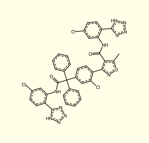 Cc1onc(-c2ccc(C(C(=O)Nc3cc(Cl)ccc3-c3nnn[nH]3)(c3ccccc3)c3ccccc3)cc2Cl)c1C(=O)Nc1cc(Cl)ccc1-c1nnn[nH]1